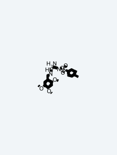 COc1cc(OC)c(OC)cc1C=NNC(N)=NOS(=O)(=O)c1ccc(C)cc1